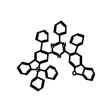 c1ccc(-c2nc(-c3cc4c(cc3-c3ccccc3)-c3ccccc3[Si]4(c3ccccc3)c3ccccc3)nc(-c3cc4oc5ccccc5c4cc3-c3ccccc3)n2)cc1